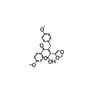 COc1ccc(CC(C(=O)c2ccc(OC)cc2)=C(C(=O)O)C2=COCO2)cc1